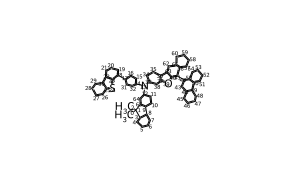 CC1(C)c2ccccc2-c2ccc(N(c3ccc(-c4cccc5c4sc4ccccc45)cc3)c3ccc4c(c3)oc3c(-c5cc6ccccc6c6ccccc56)c5ccccc5cc34)cc21